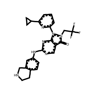 O=c1c2cnc(Nc3ccc4c(c3)CNCC4)nc2n(-c2cccc(C3CC3)n2)n1CC(F)(F)F